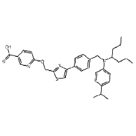 CCCC(CCC)N(Cc1ccc(-c2csc(COc3ccc(C(=O)O)cn3)n2)cc1)c1ccc(C(C)C)cc1